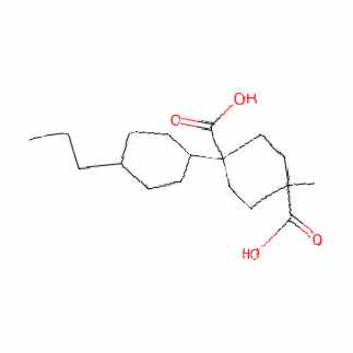 CCCC1CCC(C2(C(=O)O)CCC(C)(C(=O)O)CC2)CC1